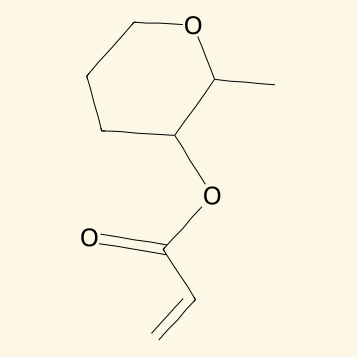 C=CC(=O)OC1CCCOC1C